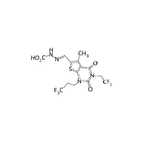 Cc1c(/C=N/NC(=O)O)sc2c1c(=O)n(CC(F)(F)F)c(=O)n2CCC(F)(F)F